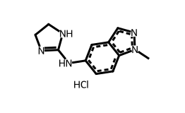 Cl.Cn1ncc2cc(NC3=NCCN3)ccc21